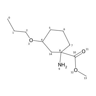 CCCOC1CCCC(N)(C(=O)OC)C1